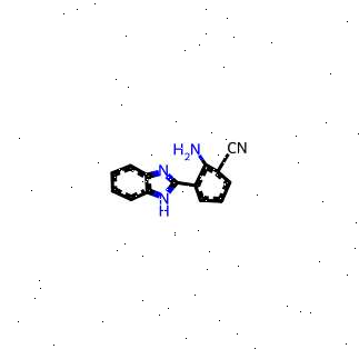 N#Cc1cccc(-c2nc3ccccc3[nH]2)c1N